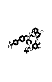 CC(C)(C)OC(=O)N1CCC(N(Cc2ccc(-c3ccc(C(F)(F)F)cc3)cc2)C(=O)Cn2c(SCc3cccc(F)c3F)cc(=O)c3cccnc32)CC1